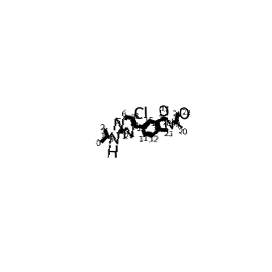 CC(C)Nc1ncc(Cl)c(-c2ccc3c(c2)C(=O)N([C@H](C)C=O)C3)n1